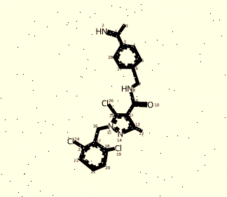 CC(=N)c1ccc(CNC(=O)c2c(C)nn(Cc3c(Cl)cccc3Cl)c2Cl)cc1